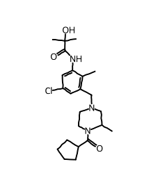 Cc1c(CN2CCN(C(=O)C3CCCC3)C(C)C2)cc(Cl)cc1NC(=O)C(C)(C)O